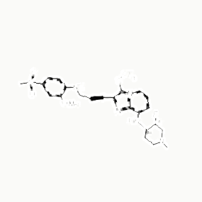 COc1cc(S(C)(=O)=O)ccc1NCC#Cc1nc2c(N[C@@H]3CCN(C)C[C@@H]3F)cccn2c1SC(F)(F)F